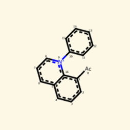 CC(=O)c1cccc2ccc[n+](-c3ccccc3)c12